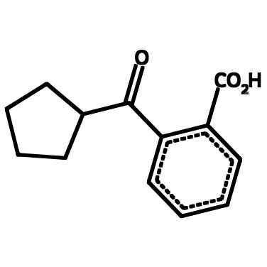 O=C(O)c1ccccc1C(=O)C1CCCC1